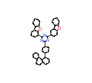 c1ccc2c(c1)ccc1cccc(-c3ccc(-c4nc(-c5ccc6oc7ccccc7c6c5)nc(-c5cccc6c5oc5ccccc56)n4)cc3)c12